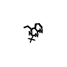 CCc1nc(C(C)(C)C)nc2ncccc12